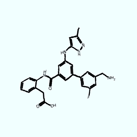 Cc1cc(Nc2cc(C(=O)Nc3ccccc3CC(=O)O)cc(-c3cc(F)cc(CN)c3)c2)[nH]n1